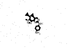 Cn1nnc(-c2nc(NC3CCC(N)CC3)ncc2C2CC2)c1CC1CC1